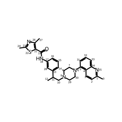 Cc1ccc2c(N3CCN(CC(C)c4cccc(NC(=O)c5sc(C)nc5C)c4)CC3)cccc2n1